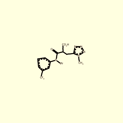 CC(C)N(C(=O)C(Cc1nnnn1C)C(=O)O)c1cccc(C(F)(F)F)c1